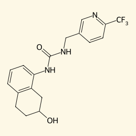 O=C(NCc1ccc(C(F)(F)F)nc1)Nc1cccc2c1CC(O)CC2